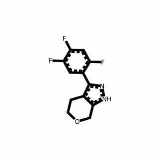 Fc1cc(F)c(-c2n[nH]c3c2CCOC3)cc1F